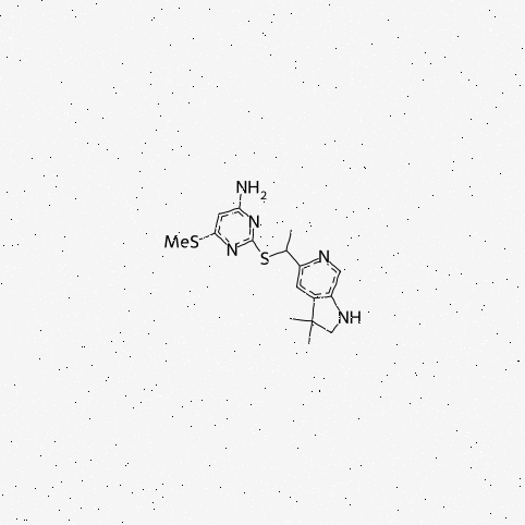 CSc1cc(N)nc(SC(C)c2cc3c(cn2)NCC3(C)C)n1